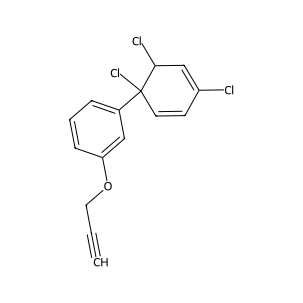 C#CCOc1cccc(C2(Cl)C=CC(Cl)=CC2Cl)c1